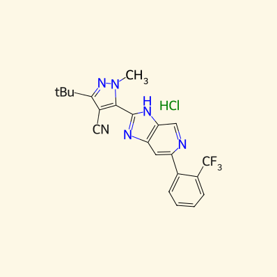 Cl.Cn1nc(C(C)(C)C)c(C#N)c1-c1nc2cc(-c3ccccc3C(F)(F)F)ncc2[nH]1